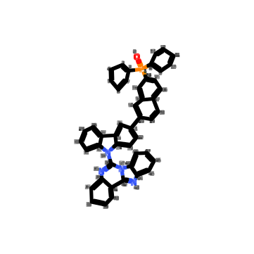 O=P(c1ccccc1)(c1ccccc1)c1ccc2ccc(-c3ccc4c(c3)c3ccccc3n4-c3nc4ccccc4c4nc5ccccc5n34)cc2c1